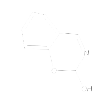 OC1N=Cc2ccccc2O1